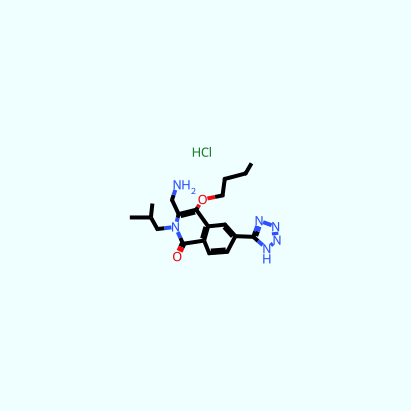 CCCCOc1c(CN)n(CC(C)C)c(=O)c2ccc(-c3nnn[nH]3)cc12.Cl